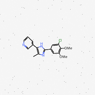 COc1cc(-c2nc(C)c(-c3cccnc3)[nH]2)cc(Cl)c1OC